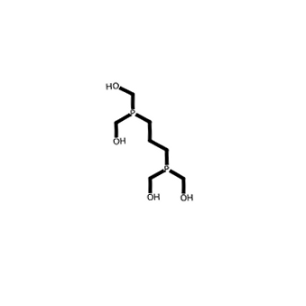 OCP(CO)CCCP(CO)CO